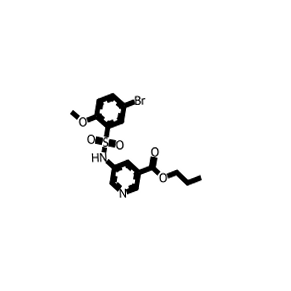 CCCOC(=O)c1cncc(NS(=O)(=O)c2cc(Br)ccc2OC)c1